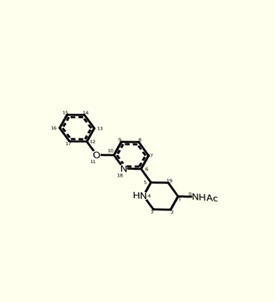 CC(=O)NC1CCNC(c2cccc(Oc3ccccc3)n2)C1